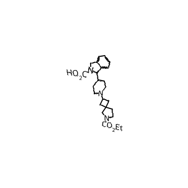 CCOC(=O)N1CCC2(CC(N3CCC(C4c5ccccc5CN4C(=O)O)CC3)C2)C1